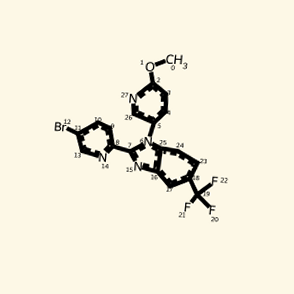 COc1ccc(-n2c(-c3ccc(Br)cn3)nc3cc(C(F)(F)F)ccc32)cn1